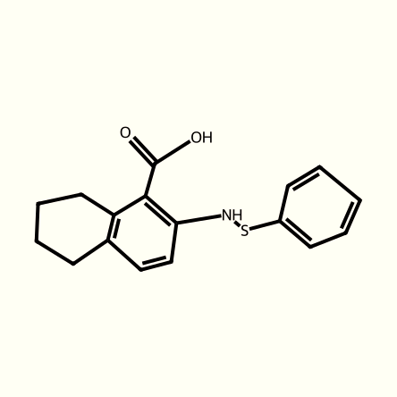 O=C(O)c1c(NSc2ccccc2)ccc2c1CCCC2